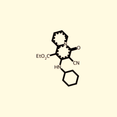 CCOC(=O)c1c(NC2CCCCC2)c(C#N)c(=O)n2ccccc12